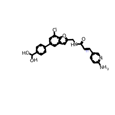 Nc1ccc(/C=C/C(=O)NCc2cc3cc(-c4ccc(C(O)O)cc4)cc(Cl)c3o2)cn1